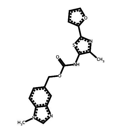 Cc1nc(-c2ccco2)sc1NC(=O)OCc1ccc2c(c1)ncn2C